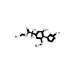 CCOC(=O)C(C)(C)c1cc(O)c(-c2cccc(O)c2)c(OC)c1